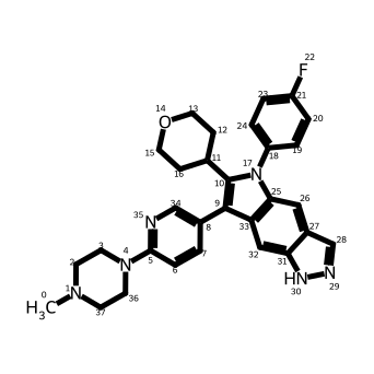 CN1CCN(c2ccc(-c3c(C4CCOCC4)n(-c4ccc(F)cc4)c4cc5cn[nH]c5cc34)cn2)CC1